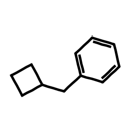 [c]1cccc(CC2CCC2)c1